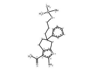 CC(C)(C)[Si](C)(C)OCCCC1(c2ccccc2)CCc2c(sc(N)c2C(N)=O)C1